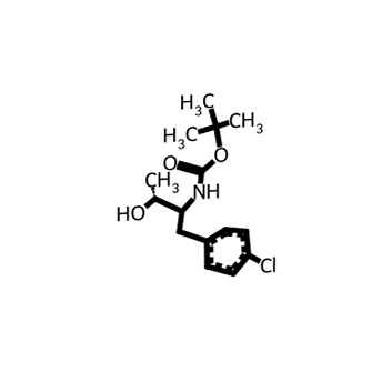 C[C@@H](O)C(Cc1ccc(Cl)cc1)NC(=O)OC(C)(C)C